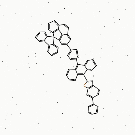 c1ccc(-c2ccc3cc(-c4c5ccccc5c(-c5ccc(-c6cc7c8c(ccc9cccc(c98)C78c7ccccc7-c7ccccc78)c6)cc5)c5ccccc45)sc3c2)cc1